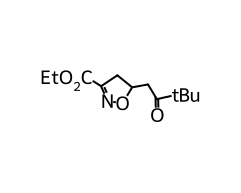 CCOC(=O)C1=NOC(CC(=O)C(C)(C)C)C1